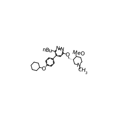 CCCCc1nnc(OC[C@H]2CN(C)CC[C@@H]2OC)cc1-c1ccc(OC2CCCCC2)cc1